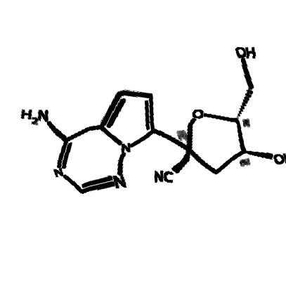 N#C[C@]1(c2ccc3c(N)ncnn23)C[C@H](O)[C@@H](CO)O1